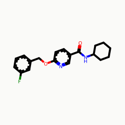 O=C(NC1CCCCC1)c1ccc(OCc2cccc(F)c2)nc1